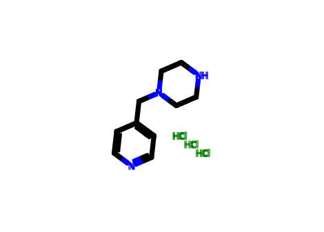 Cl.Cl.Cl.c1cc(CN2CCNCC2)ccn1